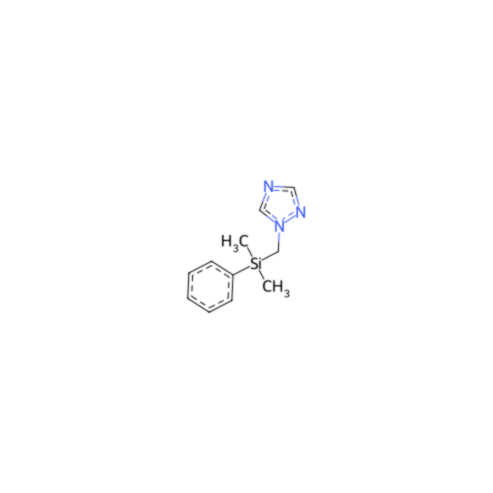 C[Si](C)(Cn1cncn1)c1ccccc1